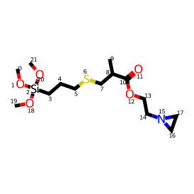 CO[Si](CCCSCC(C)C(=O)OCCN1CC1)(OC)OC